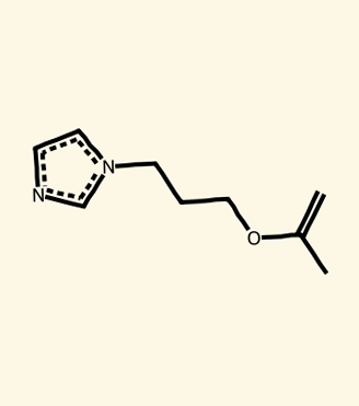 C=C(C)OCCCn1ccnc1